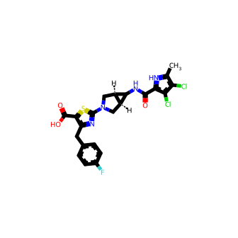 Cc1[nH]c(C(=O)NC2[C@H]3CN(c4nc(Cc5ccc(F)cc5)c(C(=O)O)s4)C[C@@H]23)c(Cl)c1Cl